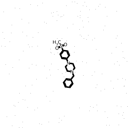 CS(=O)(=O)c1ccc(N2CCN(Cc3ccccc3)CC2)cc1